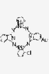 Clc1cccc2c3nc4nc(nc5[nH]c(nc6nc(nc([nH]3)c12)-c1ccccc1-6)c1ccccc51)-c1ccccc1-4.[Au]